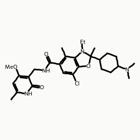 CCN1c2c(C)c(C(=O)NCc3c(OC)cc(C)[nH]c3=O)cc(Cl)c2OC1(C)C1CCC(N(C)C)CC1